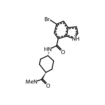 CNC(=O)[C@H]1CC[C@H](NC(=O)c2cc(Br)cc3cc[nH]c23)CC1